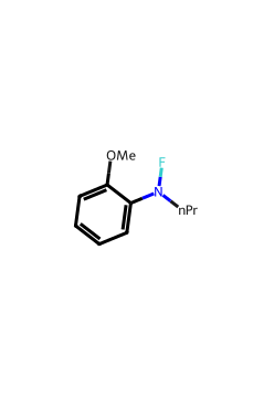 CCCN(F)c1ccccc1OC